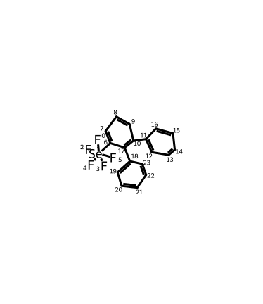 F[Se](F)(F)(F)(F)c1cccc(-c2ccccc2)c1-c1ccccc1